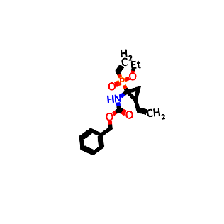 C=CC1CC1(NC(=O)OCc1ccccc1)P(=O)(C=C)OCC